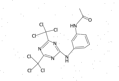 CC(=O)Nc1cccc(Nc2nc(C(Cl)(Cl)Cl)nc(C(Cl)(Cl)Cl)n2)c1